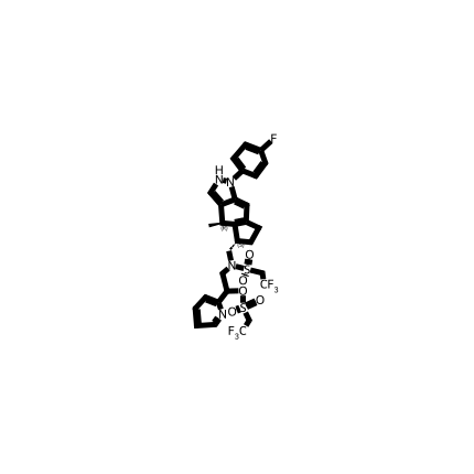 C[C@H]1C2=CNN(c3ccc(F)cc3)C2=CC2=C1[C@@H](CN(CC(OS(=O)(=O)CC(F)(F)F)c1ccccn1)S(=O)(=O)CC(F)(F)F)CC2